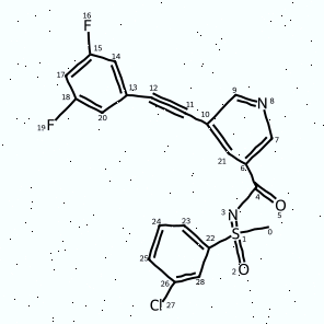 CS(=O)(=NC(=O)c1cncc(C#Cc2cc(F)cc(F)c2)c1)c1cccc(Cl)c1